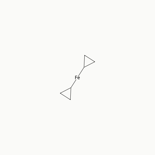 C1C[CH]1[Fe][CH]1CC1